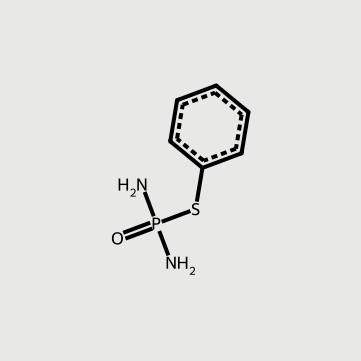 NP(N)(=O)Sc1ccccc1